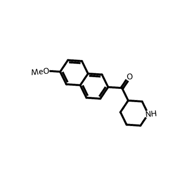 COc1ccc2cc(C(=O)C3CCCNC3)ccc2c1